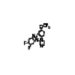 Cc1nc2cc(F)c(F)cc2n1C1=CN=CCN1c1ccc(OC(F)(F)F)cc1